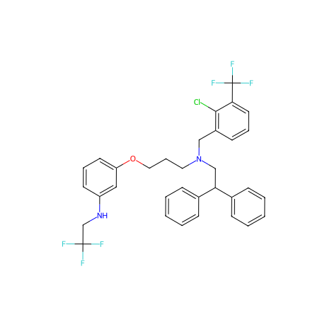 FC(F)(F)CNc1cccc(OCCCN(Cc2cccc(C(F)(F)F)c2Cl)CC(c2ccccc2)c2ccccc2)c1